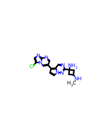 CNC1CC(N)(c2ncc3c(-c4cnc5ncc(Cl)n5c4)ccn3n2)C1